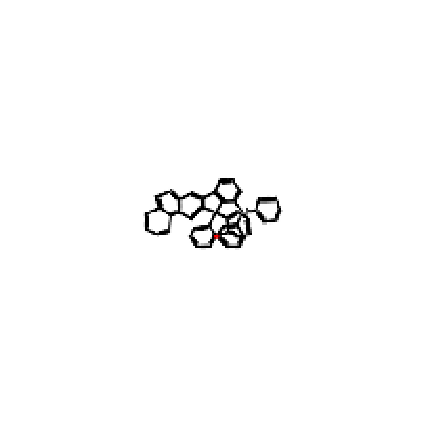 c1ccc(N(c2ccccc2)c2cccc3c2C2(c4ccccc4-c4ccccc42)c2cc4c(ccc5ccccc54)cc2-3)cc1